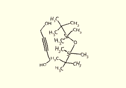 CC(C)(C)[Si](C)(C)O[Si](C)(C)C(C)(C)C.OCC#CCO